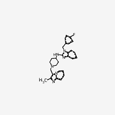 Cc1nc2ccccn2c1CN1CCC(Nc2nc3ccccc3n2Cc2ccc(F)cc2)CC1